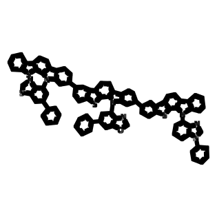 c1ccc(-c2cc(-n3c4cc(-c5ccc6sc7c(ccc8c9ccccc9n(-c9cccc%10c9ncn%10-c9ccccc9)c87)c6c5)ccc4c4ccc5c6cc(-c7ccc8c9ccc%10c%11ccccc%11sc%10c9n(-c9cc(-c%10ccccc%10)cc%10scnc9%10)c8c7)ccc6sc5c43)c3ncoc3c2)cc1